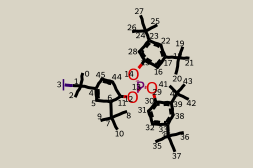 CC(C)(I)C1=CC(C(C)(C)C)C(OP(Oc2cc(C(C)(C)C)cc(C(C)(C)C)c2)Oc2ccc(C(C)(C)C)cc2C(C)(C)C)C=C1